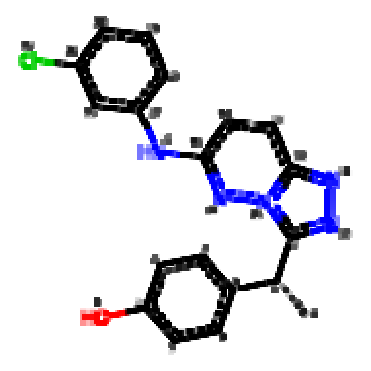 C[C@H](c1ccc(O)cc1)c1nnc2ccc(Nc3cccc(Cl)c3)nn12